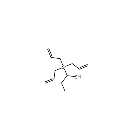 C=CC[Si](CC=C)(CC=C)C(S)CC